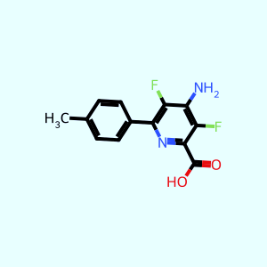 Cc1ccc(-c2nc(C(=O)O)c(F)c(N)c2F)cc1